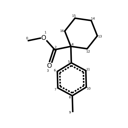 COC(=O)C1(c2ccc(C)cc2)CCCCC1